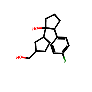 OCC1CCC(C2(O)CCCC2c2ccc(F)cc2)C1